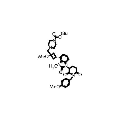 COc1ccc(CN2C(=O)CCC(n3c(=O)n(C)c4c3cccc4[C@H]3C[C@](CN4CCN(C(=O)OC(C)(C)C)CC4)(OC)C3)C2=O)cc1